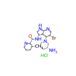 Cc1cccnc1C(=O)Nc1c[nH]c2ncc(Br)c(N3CCC[C@@H](N)C3)c12.Cl